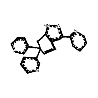 C1=CC(c2cccnc2)(c2cccnc2)Cc2[nH]nc(-c3ccccn3)c21